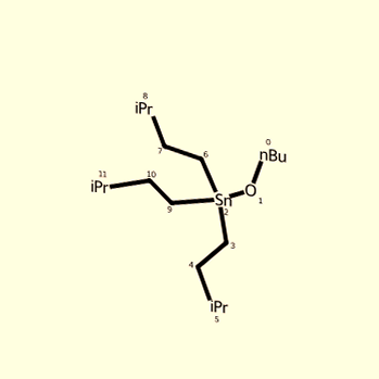 CCCC[O][Sn]([CH2]CC(C)C)([CH2]CC(C)C)[CH2]CC(C)C